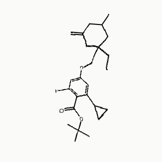 C=C1CC(C)CC(CC)(COc2cc(F)c(C(=O)OC(C)(C)C)c(C3CC3)c2)C1